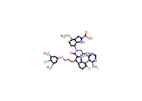 COc1ccc(N2CC(C)n3c(c(CCCOc4cc(C)c(Cl)c(C)c4)c4ccc(Cl)c(-c5c(C)ncnc5C)c43)C2=O)c2[nH]c(C(=O)O)cc12